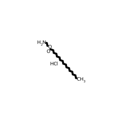 CCCCCCCCCCCCCCCCCC(=O)OCCN.Cl